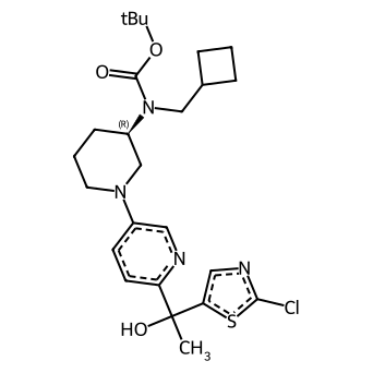 CC(C)(C)OC(=O)N(CC1CCC1)[C@@H]1CCCN(c2ccc(C(C)(O)c3cnc(Cl)s3)nc2)C1